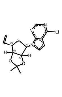 C=C[C@H]1S[C@@H](n2ccc3c(Cl)ncnc32)[C@@H]2OC(C)(C)O[C@@H]21